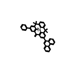 C=C1c2cc(-c3ccccc3)cc3c2N2c4c1cc(-c1cc5ccccc5c5ccccc15)cc4C(C)(C)c1cccc(c12)C3(C)C